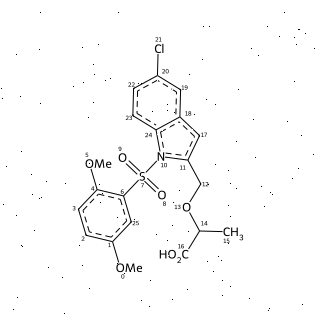 COc1ccc(OC)c(S(=O)(=O)n2c(COC(C)C(=O)O)cc3cc(Cl)ccc32)c1